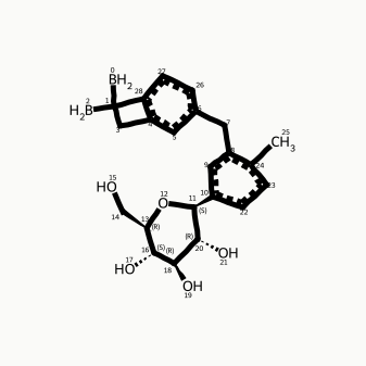 BC1(B)Cc2cc(Cc3cc([C@@H]4O[C@H](CO)[C@@H](O)[C@H](O)[C@H]4O)ccc3C)ccc21